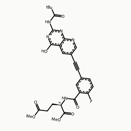 COC(=O)CC[C@@H](NC(=O)c1cc(C#Cc2cnc3nc(NC(=O)C(C)(C)C)nc(O)c3c2)ccc1F)C(=O)OC